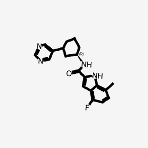 Cc1ccc(F)c2cc(C(=O)N[C@@H]3CCCC(c4cncnc4)C3)[nH]c12